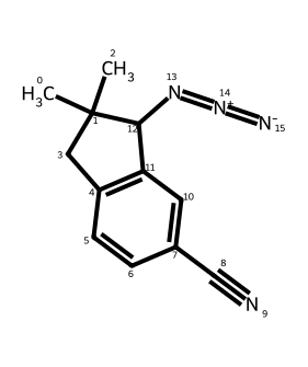 CC1(C)Cc2ccc(C#N)cc2C1N=[N+]=[N-]